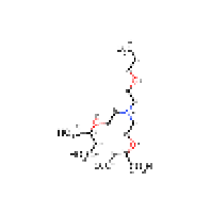 O=C(O)CCOCCN(CCOC(CC(=O)O)C(=O)O)CCOC(CC(=O)O)C(=O)O